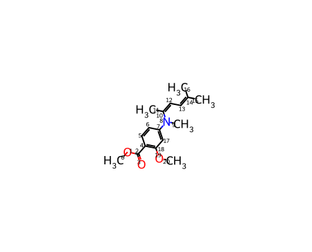 COC(=O)c1ccc(N(C)/C(C)=C\C=C(C)C)cc1OC